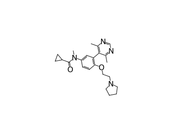 Cc1ncnc(C)c1-c1cc(N(C)C(=O)C2CC2)ccc1OCCN1CCCC1